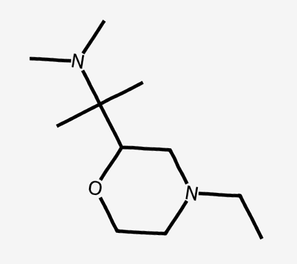 CCN1CCOC(C(C)(C)N(C)C)C1